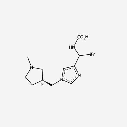 CC(C)C(NC(=O)O)c1cn(C[C@H]2CCN(C)C2)cn1